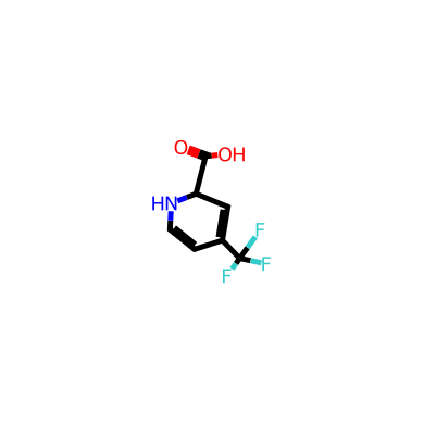 O=C(O)C1C=C(C(F)(F)F)C=CN1